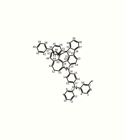 Cc1cccc(N(c2ccccc2)c2ccc(-n3c4c5c6c7c(ccc63)-c3ccccc3C7(c3ccc(-c6ccccc6)cc3)c3cccc(c3=5)=CCC=4)cc2)c1